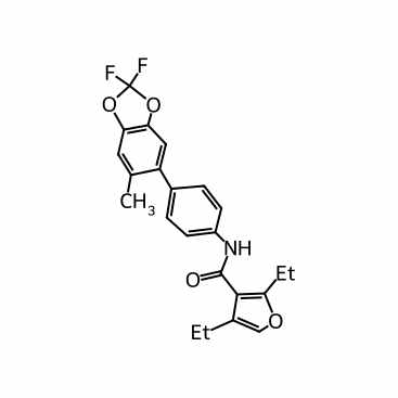 CCc1coc(CC)c1C(=O)Nc1ccc(-c2cc3c(cc2C)OC(F)(F)O3)cc1